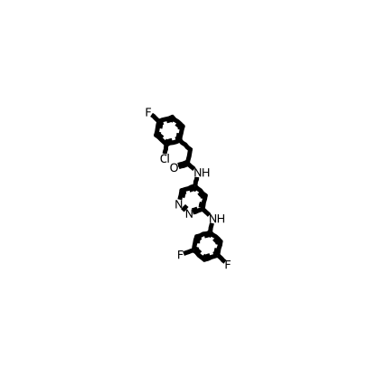 O=C(Cc1ccc(F)cc1Cl)Nc1cnnc(Nc2cc(F)cc(F)c2)c1